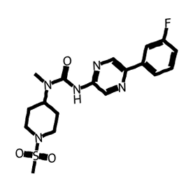 CN(C(=O)Nc1cnc(-c2cccc(F)c2)cn1)C1CCN(S(C)(=O)=O)CC1